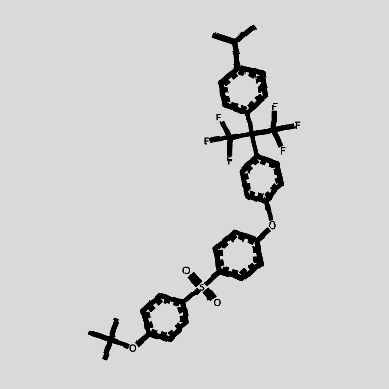 CC(C)c1ccc(C(c2ccc(Oc3ccc(S(=O)(=O)c4ccc(OC(C)(C)C)cc4)cc3)cc2)(C(F)(F)F)C(F)(F)F)cc1